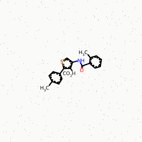 Cc1ccc(-c2scc(NC(=O)c3ccccc3C)c2C(=O)O)cc1